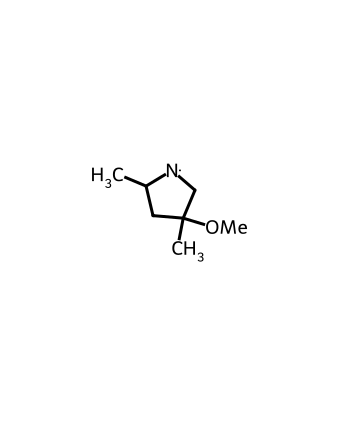 COC1(C)C[N]C(C)C1